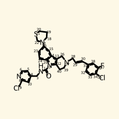 O=C(NCc1ccnc(Cl)c1)n1c2c(c3cc(N4CCCSC4)ccc31)CN(CC=Cc1ccc(Cl)c(F)c1)CC2